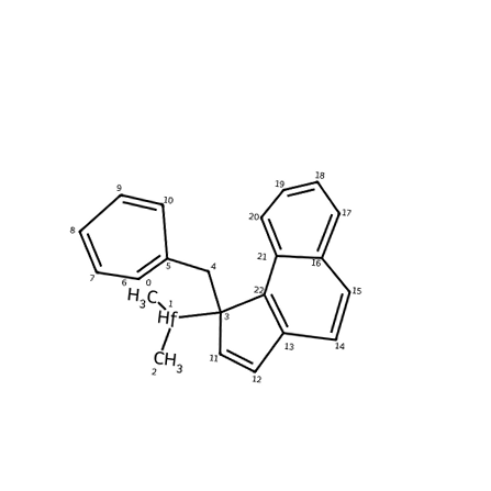 [CH3][Hf]([CH3])[C]1(Cc2ccccc2)C=Cc2ccc3ccccc3c21